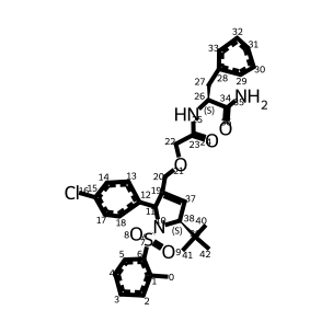 Cc1ccccc1S(=O)(=O)N1C(c2ccc(Cl)cc2)C(COCC(=O)N[C@@H](Cc2ccccc2)C(N)=O)=C[C@H]1C(C)(C)C